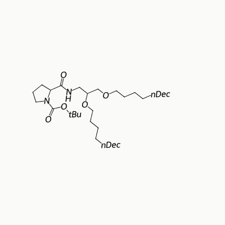 CCCCCCCCCCCCCCOCC(CNC(=O)C1CCCN1C(=O)OC(C)(C)C)OCCCCCCCCCCCCCC